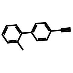 C#Cc1ccc(-c2ccccc2C)cc1